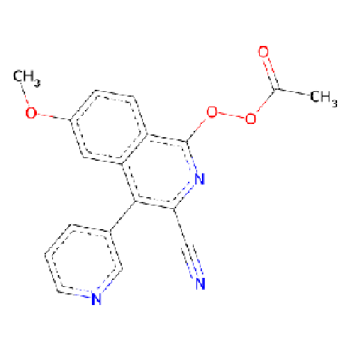 COc1ccc2c(OOC(C)=O)nc(C#N)c(-c3cccnc3)c2c1